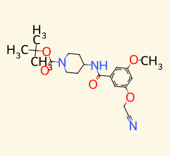 COc1cc(OCC#N)cc(C(=O)NC2CCN(C(=O)OC(C)(C)C)CC2)c1